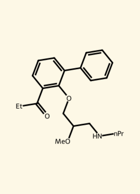 CCCNCC(COc1c(C(=O)CC)cccc1-c1ccccc1)OC